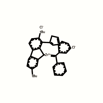 CC(C)(C)c1ccc2c(c1)[CH]([Zr+2]=[C](c1ccccc1)c1ccccc1)c1c-2ccc(C(C)(C)C)c1C1=CC=CC1.[Cl-].[Cl-]